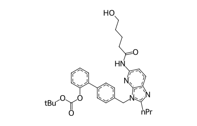 CCCc1nc2ccc(NC(=O)CCCCO)nc2n1Cc1ccc(-c2ccccc2OC(=O)OC(C)(C)C)cc1